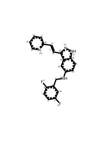 Fc1ccc(F)c(CNc2ccc3[nH]nc(/C=C/c4ccccn4)c3c2)c1